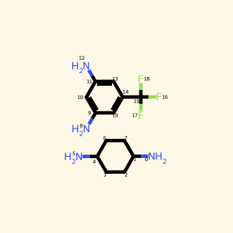 NC1CCC(N)CC1.Nc1cc(N)cc(C(F)(F)F)c1